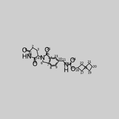 O=C1CCC(N2Cc3ccc(CNC(=O)OC4CC5(CCC5)C4)cc3C2=O)C(=O)N1